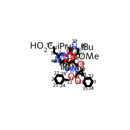 CC[C@H](C)[C@@H]([C@@H](CC(=O)N1CCC[C@H]1[C@H](OC)[C@@H](C)C(=O)N[C@@]1(C(=O)OCc2ccccc2)C[C@@H]1c1ccccc1)OC)N(C)[C@H](C(=O)NC(=O)[C@H](C(C)C)N(C)CCCC(=O)O)C(C)C